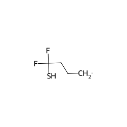 [CH2]CCC(F)(F)S